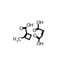 CC1=C(C(=O)O)CC1.O=C(O)/C=C\C(=O)O